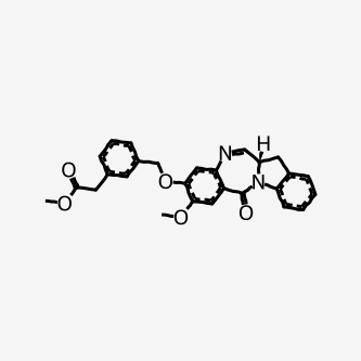 COC(=O)Cc1cccc(COc2cc3c(cc2OC)C(=O)N2c4ccccc4C[C@H]2C=N3)c1